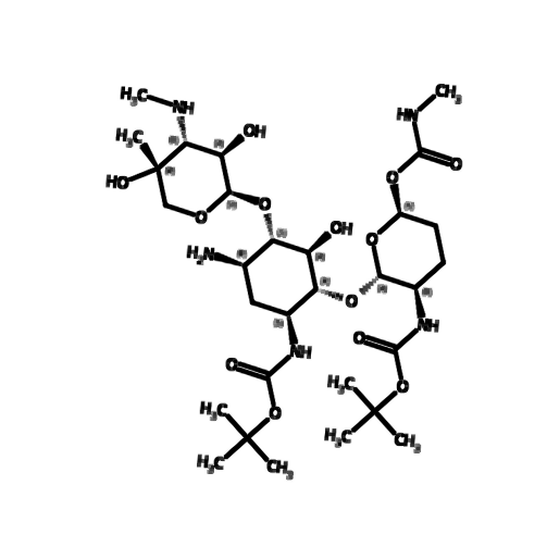 CNC(=O)O[C@H]1CC[C@@H](NC(=O)OC(C)(C)C)[C@H](O[C@H]2[C@H](O)[C@@H](O[C@H]3OC[C@](C)(O)[C@H](NC)[C@H]3O)[C@H](N)C[C@@H]2NC(=O)OC(C)(C)C)O1